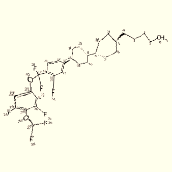 CCCCC[C@H]1CC[C@H]([C@H]2CC[C@H](c3ccc(C(F)(F)Oc4cc(F)c(OC(F)F)c(F)c4)c(F)c3)CC2)CC1